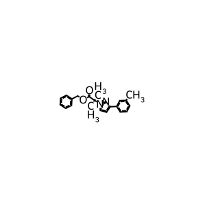 Cc1cccc(-c2ccn(C(C)(C)C(=O)OCc3ccccc3)n2)c1